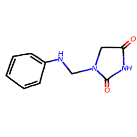 O=C1CN(CNc2ccccc2)C(=O)N1